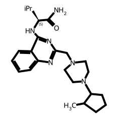 CC1CCCC1N1CCN(Cc2nc(N[C@H](C(N)=O)C(C)C)c3ccccc3n2)CC1